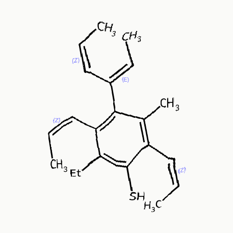 C/C=C\C(=C/C)c1c(C)c(/C=C\C)c(S)c(CC)c1/C=C\C